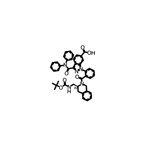 CC(C)(C)OC(=O)NC[C@@H]1Cc2ccccc2CN1C(=O)c1ccccc1-n1nc(C(=O)N(c2ccccc2)c2ccccc2)c2ccc(C(=O)O)cc21